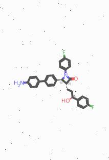 Nc1ccc(-c2ccc([C@@H]3[C@@H](CC[C@H](O)c4ccc(F)cc4)C(=O)N3c3ccc(F)cc3)cc2)cc1